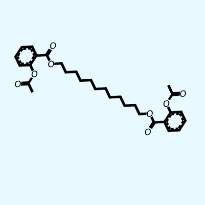 CC(=O)Oc1ccccc1C(=O)OCCCCCCCCCCCCOC(=O)c1ccccc1OC(C)=O